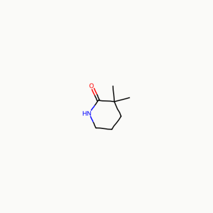 CC1(C)CCCNC1=O